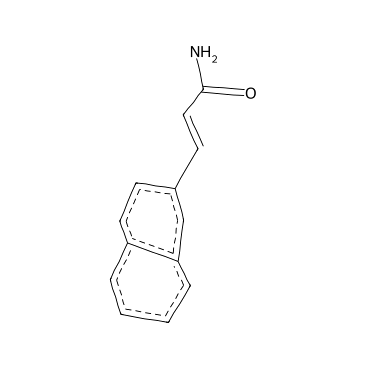 NC(=O)/C=C/c1ccc2ccccc2c1